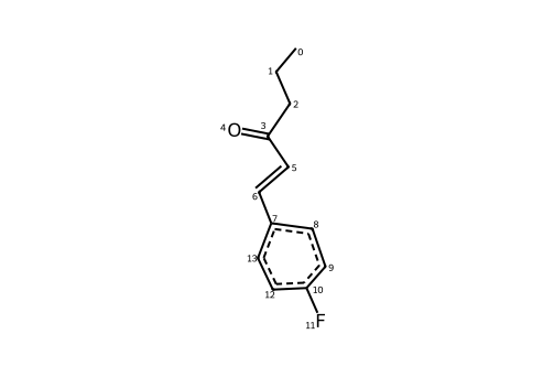 CCCC(=O)C=Cc1ccc(F)cc1